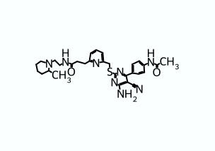 CC(=O)Nc1ccc(-c2nc(SCc3cccc(CCC(=O)NCCN4CCCCC4C)n3)nc(N)c2C#N)cc1